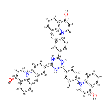 Cc1cc(-c2nc(-c3ccc(-n4ccc(=O)c5ccccc54)c(C)c3)nc(-c3ccc(-n4ccc(=O)c5ccccc54)c(C)c3)n2)ccc1-n1ccc(=O)c2ccccc21